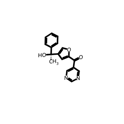 C[C@](O)(c1ccccc1)c1coc(C(=O)c2cncnc2)c1